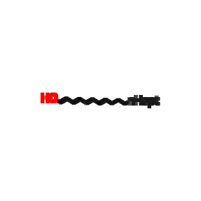 CCCCCCCCCCC=CC=CC=CC=CO